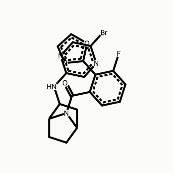 O=C(c1cccc(F)c1-c1ncco1)N1C2CCC1C(Nc1cnc(Br)cn1)C2